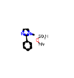 CCCOS(=O)(=O)O.Cn1ccnc1-c1ccccc1